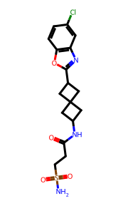 NS(=O)(=O)CCC(=O)NC1CC2(C1)CC(c1nc3cc(Cl)ccc3o1)C2